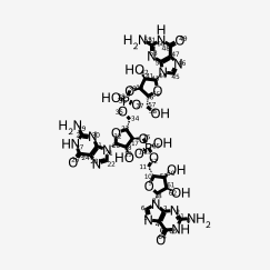 Nc1nc2c(ncn2[C@@H]2O[C@H](COP(=O)(O)O[C@H]3[C@@H](O)[C@H](n4cnc5c(=O)[nH]c(N)nc54)O[C@@H]3COP(=O)(O)O[C@H]3[C@@H](O)[C@H](n4cnc5c(=O)[nH]c(N)nc54)O[C@@H]3CO)[C@@H](O)[C@H]2O)c(=O)[nH]1